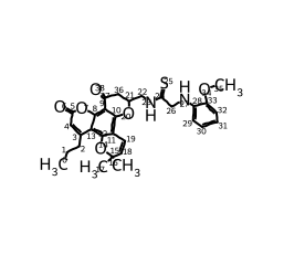 CCCc1cc(=O)oc2c3c(c4c(c12)OC(C)(C)C=C4)OC(CNC(=S)CNc1ccccc1OC)CC3=O